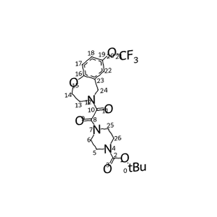 CC(C)(C)OC(=O)N1CCN(C(=O)C(=O)N2CCOc3ccc(OC(F)(F)F)cc3C2)CC1